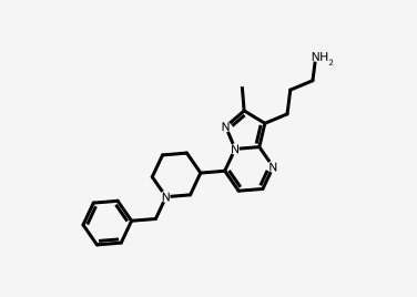 Cc1nn2c(C3CCCN(Cc4ccccc4)C3)ccnc2c1CCCN